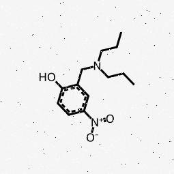 CCCN(CCC)Cc1cc([N+](=O)[O-])ccc1O